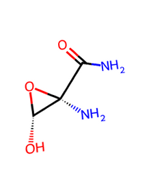 NC(=O)[C@]1(N)O[C@H]1O